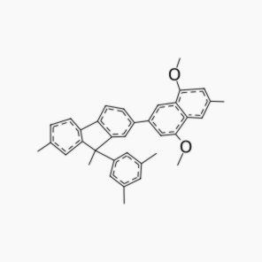 COc1cc(-c2ccc3c(c2)C(C)(c2cc(C)cc(C)c2)c2cc(C)ccc2-3)cc2c(OC)cc(C)cc12